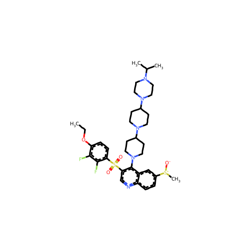 CCOc1ccc(S(=O)(=O)c2cnc3ccc([S+](C)[O-])cc3c2N2CCC(N3CCC(N4CCN(C(C)C)CC4)CC3)CC2)c(F)c1F